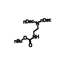 CCCCCCCCCCN(CCCCCCCCCC)CCNC(=O)OCCCC